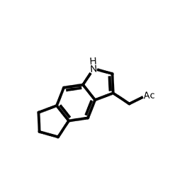 CC(=O)Cc1c[nH]c2cc3c(cc12)CCC3